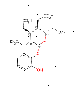 CC(=O)OC[C@@H]1O[C@H](Oc2ccccc2O)[C@H](CC(=O)O)[C@@H](CC(=O)O)[C@H]1CC(=O)O